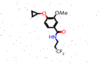 COc1cc(C(=O)NCCC(F)(F)F)ccc1OC1CC1